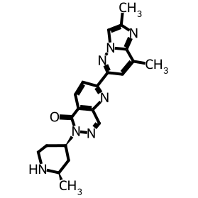 Cc1cn2nc(-c3ccc4c(=O)n([C@@H]5CCN[C@H](C)C5)ncc4n3)cc(C)c2n1